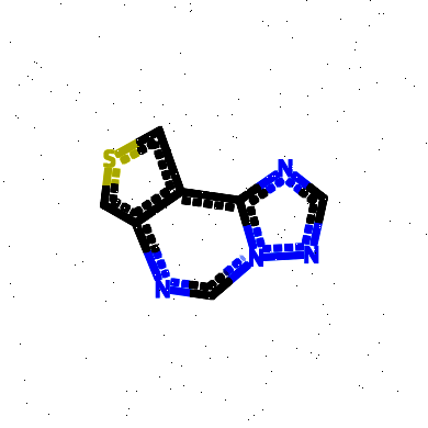 c1nc2c3cscc3ncn2n1